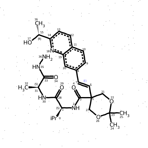 CC(C)[C@H](NC(=O)C1(/C=C/c2ccc3ccc([C@@H](C)O)nc3c2)COC(C)(C)OC1)C(=O)N[C@@H](C)C(=O)NN